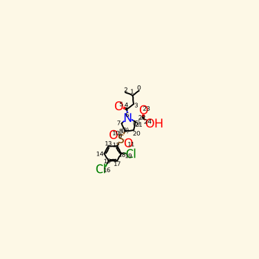 CC(C)CC(=O)N1C[C@H](S(=O)(=O)c2ccc(Cl)cc2Cl)C[C@H]1C(=O)O